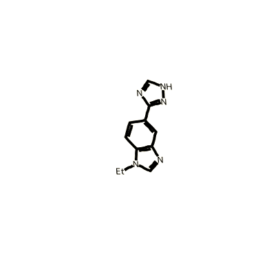 CCn1cnc2cc(-c3nc[nH]n3)ccc21